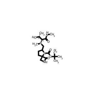 CNC(=O)[C@H]([C@@H](C)O)N(C)CC1CCC2(CNC2=O)N1C(=O)OC(C)(C)C